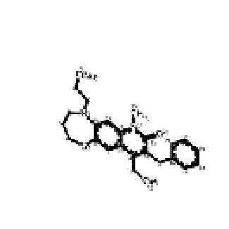 COCCN1CCCSc2cc3c(CO)c(Cc4ccccc4)c(=O)n(C)c3cc21